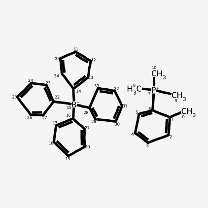 Cc1ccccc1[P+](C)(C)C.c1ccc([B-](c2ccccc2)(c2ccccc2)c2ccccc2)cc1